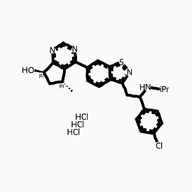 CC(C)NC(Cc1nsc2cc(-c3ncnc4c3[C@H](C)C[C@H]4O)ccc12)c1ccc(Cl)cc1.Cl.Cl.Cl